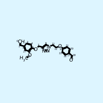 C=Cc1ccc(OCc2cn(CCOc3ccc(C=O)cc3)nn2)c(OC)c1